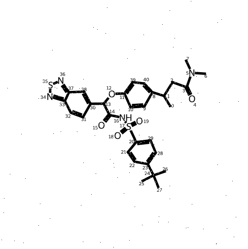 CC(CC(=O)N(C)C)c1ccc(OC(C(=O)NS(=O)(=O)c2ccc(C(C)(C)C)cc2)c2ccc3nsnc3c2)cc1